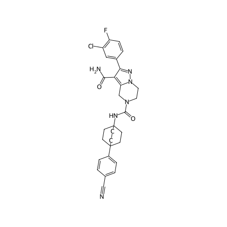 N#Cc1ccc(C23CCC(NC(=O)N4CCn5nc(-c6ccc(F)c(Cl)c6)c(C(N)=O)c5C4)(CC2)CC3)cc1